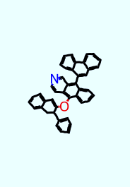 C1=C(Oc2c3ccccc3c(-c3cc4ccccc4c4ccccc34)c3cnccc23)C(c2ccccc2)Cc2ccccc21